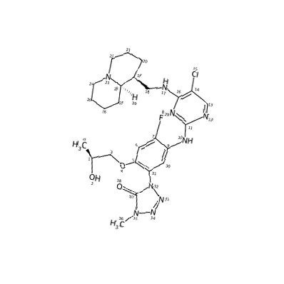 C[C@H](O)COc1cc(F)c(Nc2ncc(Cl)c(NC[C@@H]3CCCN4CCCC[C@H]34)n2)cc1-n1nnn(C)c1=O